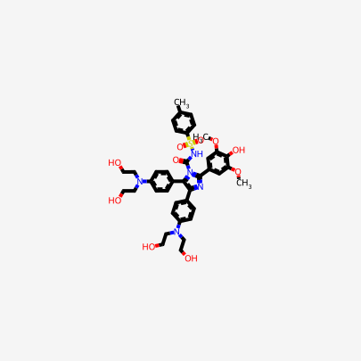 COc1cc(-c2nc(-c3ccc(N(CCO)CCO)cc3)c(-c3ccc(N(CCO)CCO)cc3)n2C(=O)NS(=O)(=O)c2ccc(C)cc2)cc(OC)c1O